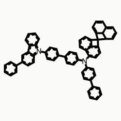 C1=CC2=CC=CC3C2C(=C1)C31c2cccc3c(N(c4ccc(-c5ccccc5)cc4)c4ccc(-c5ccc(-n6c7ccccc7c7cc(-c8ccccc8)ccc76)cc5)cc4)ccc1c23